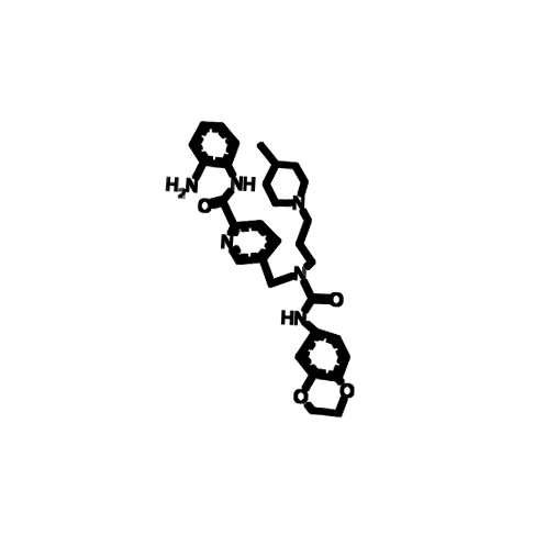 CC1CCN(CCCN(Cc2ccc(C(=O)Nc3ccccc3N)nc2)C(=O)Nc2ccc3c(c2)OCCO3)CC1